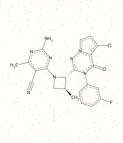 Cc1nc(N)nc(N2C[C@H](C)[C@H]2c2nn3ccc(Cl)c3c(=O)n2-c2cccc(F)c2)c1C#N